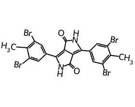 Cc1c(Br)cc(C2=C3C(=O)NC(c4cc(Br)c(C)c(Br)c4)=C3C(=O)N2)cc1Br